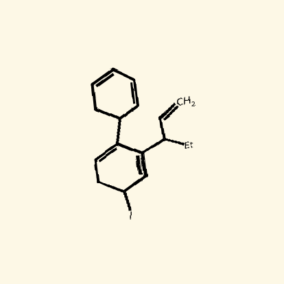 C=CC(CC)C1=CC(I)CC=C1C1C=CC=CC1